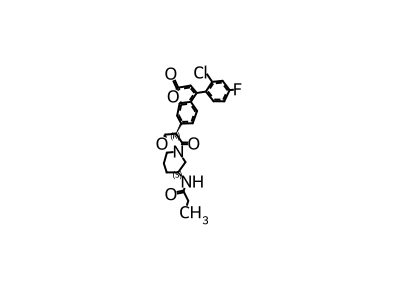 CCC(=O)N[C@H]1CCCN(C(=O)[C@@H](C=O)c2ccc3c(-c4ccc(F)cc4Cl)cc(=O)oc3c2)C1